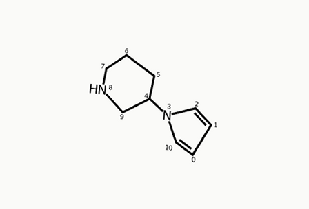 c1ccn(C2CCCNC2)c1